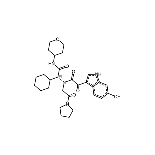 O=C(C(=O)N(CC(=O)N1CCCC1)[C@@H](C(=O)NC1CCOCC1)C1CCCCC1)c1c[nH]c2cc(O)ccc12